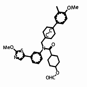 COc1ncc(-c2cccc(N(CC34CCC(c5ccc(OC)c(C)c5)(CC3)CC4)C(=O)C3CCC(OC=O)CC3)c2)s1